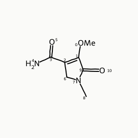 COC1=C(C(N)=O)CN(C)C1=O